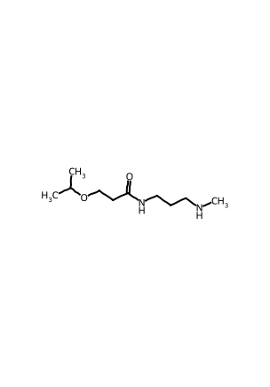 CNCCCNC(=O)CCOC(C)C